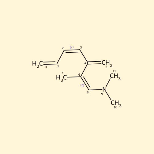 C=C/C=C\C(=C)/C(C)=C\N(C)C